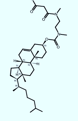 COC(=O)CC(=O)N(C)CCN(C)C(=O)O[C@H]1CC[C@@]2(C)C(=CC[C@H]3[C@@H]4CC[C@H]([C@H](C)CCCC(C)C)[C@@]4(C)CC[C@@H]32)C1